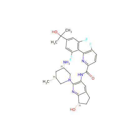 C[C@@H]1C[C@H](N)CN(c2nc3c(cc2NC(=O)c2ccc(F)c(-c4c(F)cc(C(C)(C)O)cc4F)n2)CC[C@@H]3O)C1